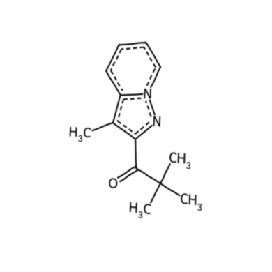 Cc1c(C(=O)C(C)(C)C)nn2ccccc12